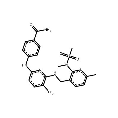 Cc1ccc(CNc2nc(Nc3ccc(C(N)=O)cc3)ncc2C(F)(F)F)c(N(C)S(C)(=O)=O)n1